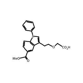 COC(=O)c1ccc2c(c1)c(CCOCC(=O)O)cn2-c1ccccc1